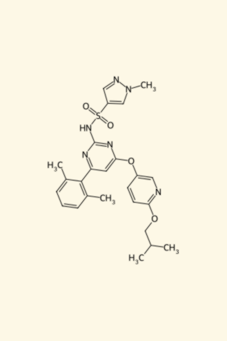 Cc1cccc(C)c1-c1cc(Oc2ccc(OCC(C)C)nc2)nc(NS(=O)(=O)c2cnn(C)c2)n1